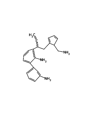 C=C=C(CC1=CC=CC1CN)c1cccc(-c2cccc(N)c2)c1N